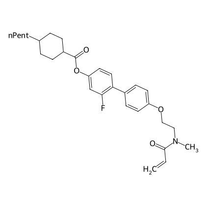 C=CC(=O)N(C)CCOc1ccc(-c2ccc(OC(=O)C3CCC(CCCCC)CC3)cc2F)cc1